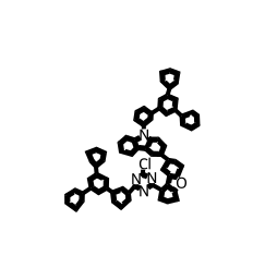 Clc1nc(-c2cccc(-c3cc(-c4ccccc4)cc(-c4ccccc4)c3)c2)nc(-c2cccc3oc4ccc(-c5ccc6c(c5)c5ccccc5n6-c5cccc(-c6cc(-c7ccccc7)cc(-c7ccccc7)c6)c5)cc4c23)n1